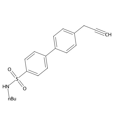 C#CCc1ccc(-c2ccc(S(=O)(=O)NCCCC)cc2)cc1